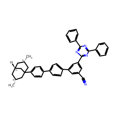 C[C@@H]1C[C@@H]2C[C@H](C)CC(c3ccc(-c4ccc(-c5cc(C#N)cc(-c6nc(-c7ccccc7)nc(-c7ccccc7)n6)c5)cc4)cc3)(C1)C2